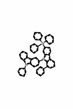 c1ccc(-c2cccc3c4ccc([Si](c5ccccc5)(c5ccccc5)c5ccccc5)cc4n(-c4ccc5c(c4)c4ccccc4n5-c4ccccc4)c23)cc1